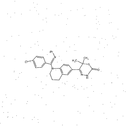 CC(C)N=C(c1ccc(Cl)cc1)N1CCCc2cc(C3=NNC(=O)SC3(C)C)ccc21